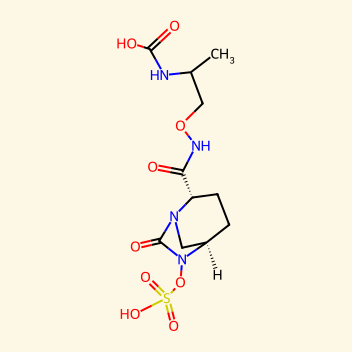 CC(CONC(=O)[C@@H]1CC[C@@H]2CN1C(=O)N2OS(=O)(=O)O)NC(=O)O